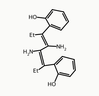 CCC(=C(N)C(N)=C(CC)c1ccccc1O)c1ccccc1O